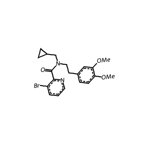 COc1ccc(CCN(CC2CC2)C(=O)c2ncccc2Br)cc1OC